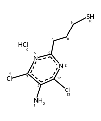 Cl.Nc1c(Cl)nc(CCCS)nc1Cl